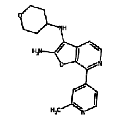 Cc1cc(-c2nccc3c(NC4CCOCC4)c(N)oc23)ccn1